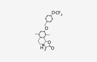 C=C1C(=O)OC2c3c(C)c(OCc4ccc(OC(F)(F)F)cc4)cc(C)c3CC[C@@H]12